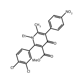 CCn1c(C)c(-c2ccc([N+](=O)[O-])cc2)c(=O)c(C(=O)OC)c1-c1ccc(Cl)c(Cl)c1